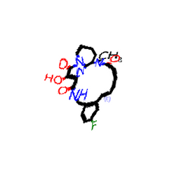 CN1C(=O)CCC/C=C/c2cc(F)ccc2CNC(=O)c2nc3n(c(=O)c2O)CCCCC31